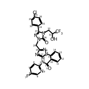 O=C(Nc1ccc(F)cn1)c1ccccc1-n1cnc(Cn2nc(-c3ccc(Cl)cc3)n(CC(O)C(F)(F)F)c2=O)n1